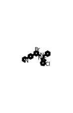 Clc1cccc2c1sc1c(-c3ccccc3)nc(-c3cc(Br)cc(-c4ccc(-c5ccccn5)cc4)c3)nc12